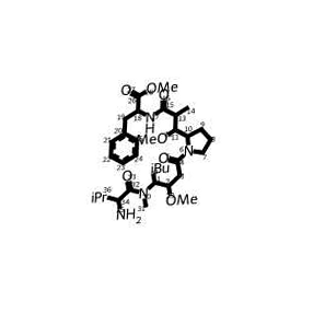 CCC(C)C(C(CC(=O)N1CCCC1C(OC)C(C)C(=O)NC(Cc1ccccc1)C(=O)OC)OC)N(C)C(=O)C(N)C(C)C